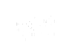 CC(C)c1cc(Br)c(=O)n2cc(F)c(-c3nc(C(C)(C)O)n(C)n3)cc12